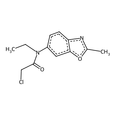 CCN(C(=O)CCl)c1ccc2nc(C)oc2c1